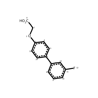 O=C(O)COc1ccc(-c2cc[c]c(F)c2)cc1